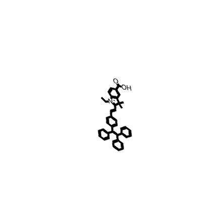 CC[N+]1=C(C=Cc2ccc(C(=C(c3ccccc3)c3ccccc3)c3ccccc3)cc2)C(C)(C)c2cc(C(=O)O)ccc21